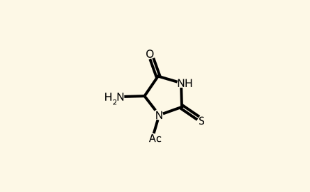 CC(=O)N1C(=S)NC(=O)C1N